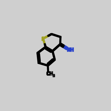 Cc1ccc2c(c1)C(=N)CCS2